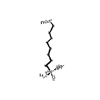 CCCCCCCCCCCCCCCC[N+](C)(Cl)CCC